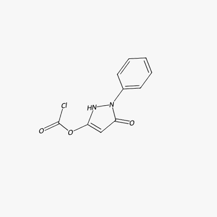 O=C(Cl)Oc1cc(=O)n(-c2ccccc2)[nH]1